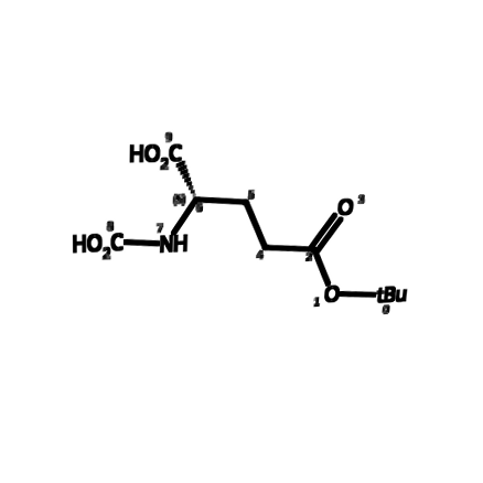 CC(C)(C)OC(=O)CC[C@H](NC(=O)O)C(=O)O